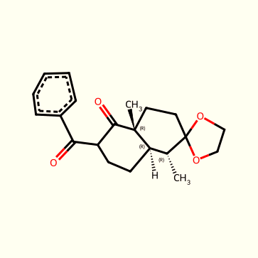 C[C@@H]1[C@H]2CCC(C(=O)c3ccccc3)C(=O)[C@]2(C)CCC12OCCO2